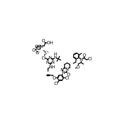 C#CCOc1cc(-n2nc3n(c2=O)CCCC3)c(Cl)cc1Cl.CCNc1nc(Cl)nc(NC(C)(C)C)n1.CCc1cccc(C)c1N(C(=O)CCl)C(C)COC.C[S+](C)C.O=C(O)CNCP(=O)([O-])O